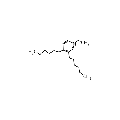 CCCCCCc1cc[n+](CC)cc1CCCCCC